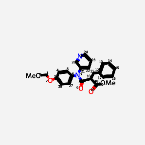 COCOc1ccc(N(C(=O)C(Cc2ccccc2)C(=O)OC)c2cccnc2)cc1